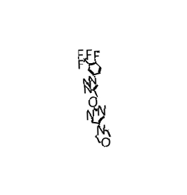 Fc1ccc(-n2cc(COc3ncc(N4CCOCC4)cn3)nn2)cc1C(F)(F)F